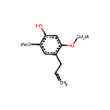 C=CCc1cc(OC)c(O)cc1OC(=O)OCC